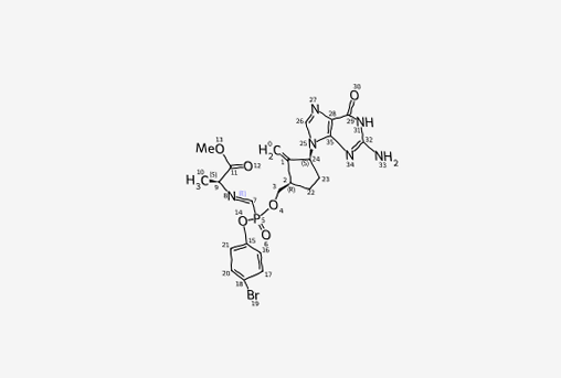 C=C1[C@H](COP(=O)(/C=N/[C@@H](C)C(=O)OC)Oc2ccc(Br)cc2)CC[C@@H]1n1cnc2c(=O)[nH]c(N)nc21